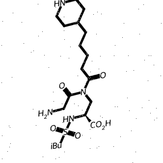 CCC(C)S(=O)(=O)N[C@@H](CN(C(=O)CN)C(=O)CCCCC1CCNCC1)C(=O)O